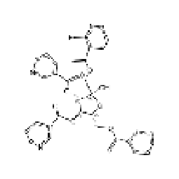 C=C(OC[C@@]1(O)O[C@H](COC(=O)c2cccnc2)[C@@H](OC(=O)c2cccnc2)[C@@H]1OC(=O)c1cccnc1)c1cccnc1F